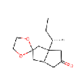 CC[C@H](C)C12CC(=O)CC1CC1(C2)OCCO1